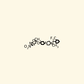 CN(Cc1ccccc1C(F)(F)F)C1CCN(c2ccc(OCC3(C)Cn4cc([N+](=O)[O-])nc4O3)cc2)CC1